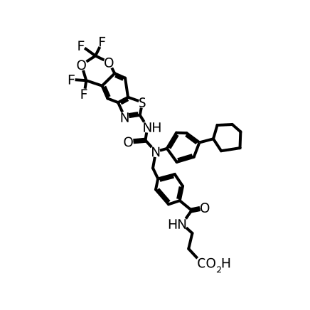 O=C(O)CCNC(=O)c1ccc(CN(C(=O)Nc2nc3cc4c(cc3s2)OC(F)(F)OC4(F)F)c2ccc(C3CCCCC3)cc2)cc1